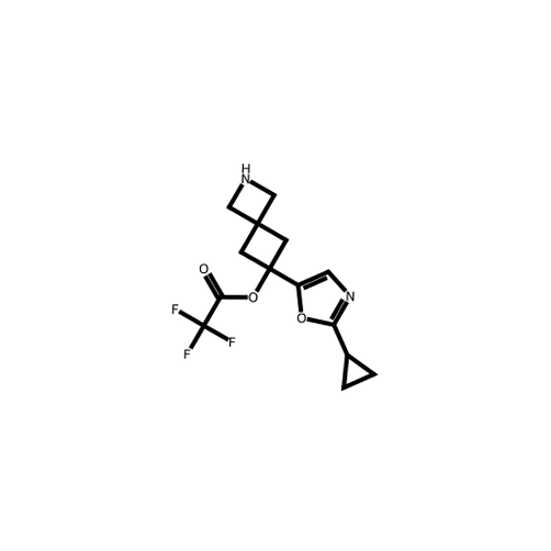 O=C(OC1(c2cnc(C3CC3)o2)CC2(CNC2)C1)C(F)(F)F